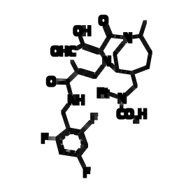 CCN(CC1CCC(C)N2CC1N(/C=C(\C)C(=O)NCc1c(F)cc(F)cc1F)/C(=C(/O)C=O)C2=O)C(=O)O